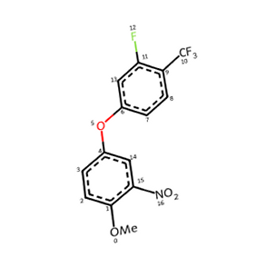 COc1ccc(Oc2ccc(C(F)(F)F)c(F)c2)cc1[N+](=O)[O-]